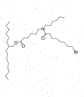 CCCCCCCCC(CCCCCC)COC(=O)CCCCCN(CCCCCC)C(=O)CCCCCCCBr